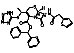 CC(Sc1nnn[nH]1)C1=C(C(=O)OC(c2ccccc2)c2ccccc2)N2C(=O)[C@@H](NC(=O)Cc3cccs3)[C@@H]2SC1